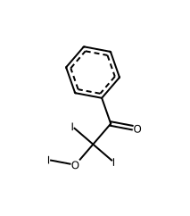 O=C(c1ccccc1)C(I)(I)OI